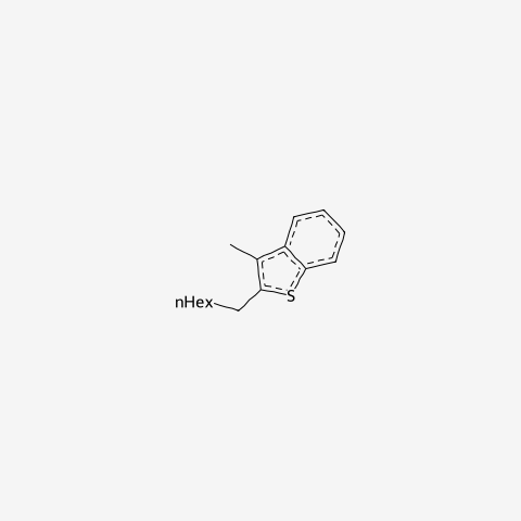 CCCCCCCc1sc2ccccc2c1C